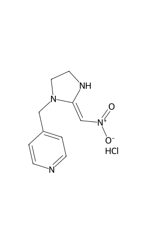 Cl.O=[N+]([O-])C=C1NCCN1Cc1ccncc1